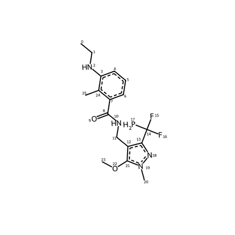 CCNc1cccc(C(=O)NCc2c(C(F)(F)P)nn(C)c2OC)c1C